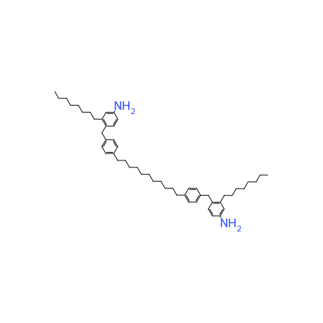 CCCCCCCCc1cc(N)ccc1Cc1ccc(CCCCCCCCCCCc2ccc(Cc3ccc(N)cc3CCCCCCCC)cc2)cc1